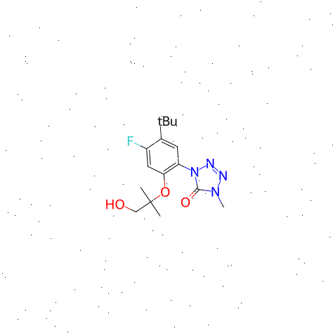 Cn1nnn(-c2cc(C(C)(C)C)c(F)cc2OC(C)(C)CO)c1=O